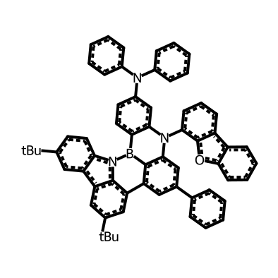 CC(C)(C)c1ccc2c(c1)c1cc(C(C)(C)C)cc3c1n2B1c2ccc(N(c4ccccc4)c4ccccc4)cc2N(c2cccc4c2oc2ccccc24)c2cc(-c4ccccc4)cc-3c21